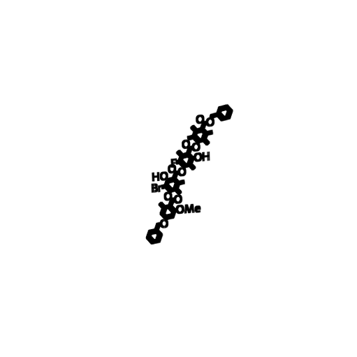 COc1cc(OCc2ccccc2)cc(C)c1C(=O)Oc1c(C)c(C)c(C(=O)Oc2c(C)c(O)c(C(=O)Oc3c(C)c(C)c(C(=O)OCc4ccccc4)c(C)c3C)c(C)c2F)c(O)c1Br